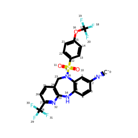 [C-]#[N+]c1ccc2c(c1)N(S(=O)(=O)c1ccc(OC(F)(F)F)cc1)Cc1ccc(C(F)(F)F)nc1N2